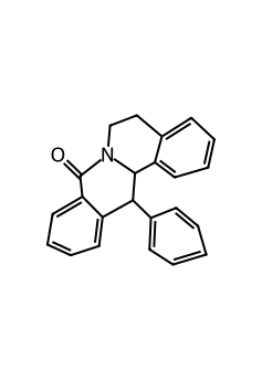 O=C1c2ccccc2C(c2ccccc2)C2c3ccccc3CCN12